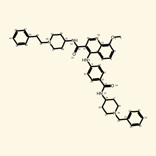 COc1cccc2c(Nc3ccc(C(=O)NC4CCN(Cc5ccccc5)CC4)cc3)c(C(=O)NC3CCN(CCc4ccccc4)CC3)cnc12